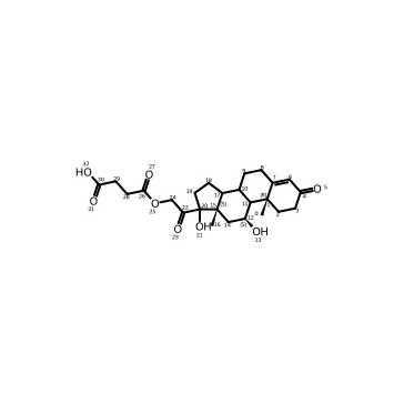 C[C@]12CCC(=O)C=C1CCC1C2[C@@H](O)C[C@@]2(C)C1CCC2(O)C(=O)COC(=O)CCC(=O)O